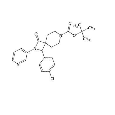 CC(C)(C)OC(=O)N1CCC2(CC1)C(=O)N(c1cccnc1)C2c1ccc(Cl)cc1